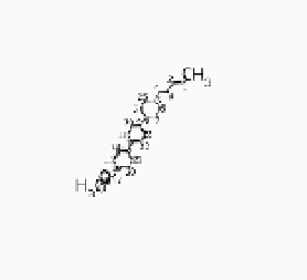 C/C=C/CCC1CCC(c2ccc(-c3ccc(COC)cc3)cc2)CC1